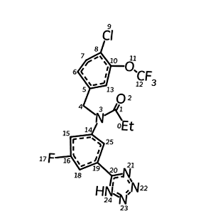 CCC(=O)N(Cc1ccc(Cl)c(OC(F)(F)F)c1)c1cc(F)cc(-c2nnn[nH]2)c1